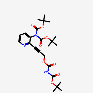 CC(C)(C)OC(=O)NC(=O)OCC#Cc1ncccc1N(C(=O)OC(C)(C)C)C(=O)OC(C)(C)C